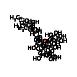 C[C@@H]1CC[C@]2(OC1)O[C@@H]1C([C@@H]2C)[C@@]2(C)CC[C@H]3[C@@H](CC[C@H]4C[C@@H](O[C@H]5O[C@H](CO)[C@@H](O[C@@H]6O[C@H](CO)[C@@H](O)[C@H](O[C@@H]7OC[C@@H](O)[C@H](O)[C@H]7O)[C@H]6O[C@@H]6O[C@H](CO)[C@H](O)[C@H](O[C@@H]7O[C@H](CO)[C@H](O)[C@@H](O)[C@H]7O)[C@H]6O)[C@@H](O)[C@H]5O)[C@H](O)C[C@@]43C)[C@H]2[C@@H]1O